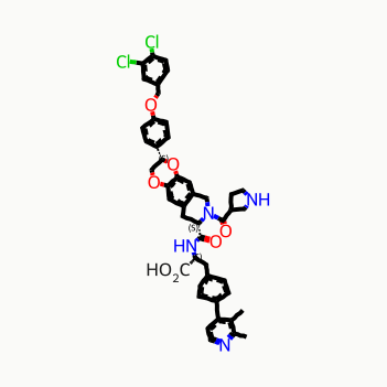 Cc1nccc(-c2ccc(C[C@H](NC(=O)[C@@H]3Cc4cc5c(cc4CN3C(=O)C3CCNC3)O[C@@H](c3ccc(OCc4ccc(Cl)c(Cl)c4)cc3)CO5)C(=O)O)cc2)c1C